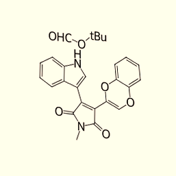 CC(C)(C)OC=O.CN1C(=O)C(C2=COc3ccccc3O2)=C(c2c[nH]c3ccccc23)C1=O